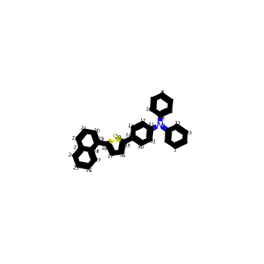 c1ccc(N(c2ccccc2)c2ccc(-c3ccc(-c4cccc5ccccc45)s3)cc2)cc1